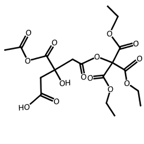 CCOC(=O)C(OC(=O)CC(O)(CC(=O)O)C(=O)OC(C)=O)(C(=O)OCC)C(=O)OCC